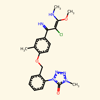 CN/C(OC)=C(/Cl)C(=N)c1ccc(OCc2ccccc2-n2nnn(C)c2=O)c(C)c1